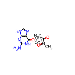 CC(=O)C(C)=O.CC(=O)O.Nc1nc2[nH]cnc2c(=O)[nH]1